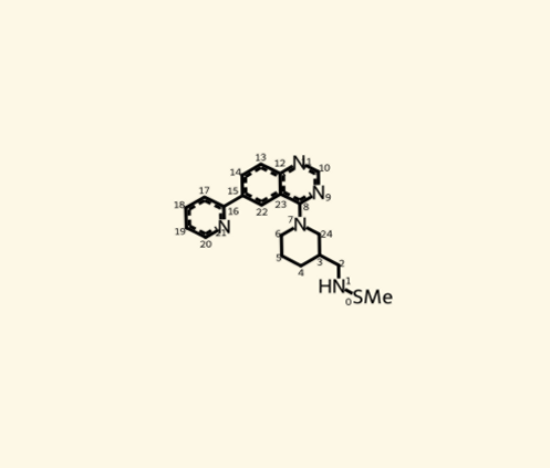 CSNCC1CCCN(c2ncnc3ccc(-c4ccccn4)cc23)C1